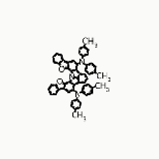 Cc1ccc(N(c2ccc(C)cc2)c2cc3c4ccccc4oc3c3c2c2cccc4c5c(N(c6ccc(C)cc6)c6ccc(C)cc6)cc6c7ccccc7oc6c5n3c24)cc1